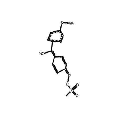 CCCSc1ccc(C(C#N)=C2C=CC(=NOS(C)(=O)=O)C=C2)cc1